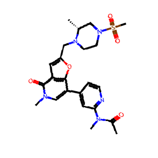 CC(=O)N(C)c1cc(-c2cn(C)c(=O)c3cc(CN4CCN(S(C)(=O)=O)C[C@H]4C)oc23)ccn1